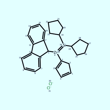 C1=CC[C]([Zr+2]([CH]2c3ccccc3-c3ccccc32)=[Si](C2CCCC2)C2CCCC2)=C1.[Cl-].[Cl-]